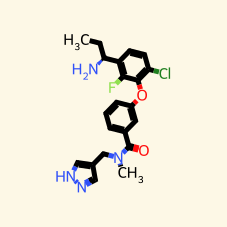 CC[C@H](N)c1ccc(Cl)c(Oc2cccc(C(=O)N(C)Cc3cn[nH]c3)c2)c1F